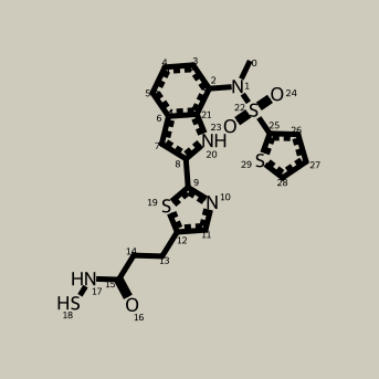 CN(c1cccc2cc(-c3ncc(CCC(=O)NS)s3)[nH]c12)S(=O)(=O)c1cccs1